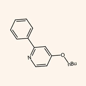 CCCCOc1ccnc(-c2ccccc2)c1